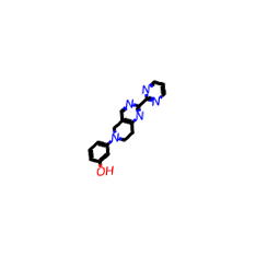 Oc1cccc(N2CCc3nc(-c4ncccn4)ncc3C2)c1